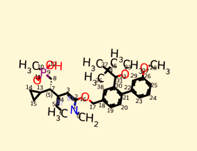 C=N/C(=C\C(=C/C)[C@@H](CP(C)(=O)O)C1CC1)OCc1ccc(-c2cccc(OC)c2)c(C(OC)C(C)(C)C)c1